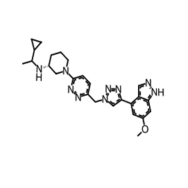 COc1cc(-c2cn(Cc3ccc(N4CCC[C@@H](NC(C)C5CC5)C4)nn3)nn2)c2cn[nH]c2c1